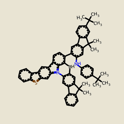 CC(C)(C)c1ccc(Nc2cc3c(cc2-c2ccc4c5cc6c(cc5n5c4c2Bc2cc4c(cc2-5)-c2ccccc2C4(C)C)sc2ccccc26)-c2ccc(C(C)(C)C)cc2C3(C)C)cc1